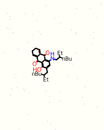 CCCCC(CC)CNc1cc(CC(CC)CCCC)c(O)c2c1C(=O)C1=CCCC=C1C2=O